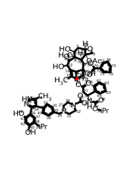 CC(=O)O[C@@]12CO[C@@H]1C[C@H](O)[C@@]1(C)C(=O)[C@H](O)C3=C(C)[C@@H](OC(=O)[C@H](OC(=O)N4CCN(Cc5ccc(-c6c(-c7cc(C(C)C)c(O)cc7O)n[nH]c6C)cc5)CC4)[C@@H](NC(=O)OC(C)C)c4ccccc4)CC(O)([C@@H](OC(=O)c4ccccc4)[C@H]21)C3(C)C